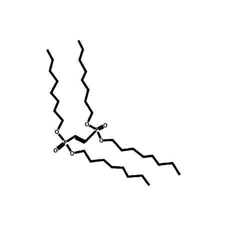 CCCCCCCCOP(=O)(C=CP(=O)(OCCCCCCCC)OCCCCCCCC)OCCCCCCCC